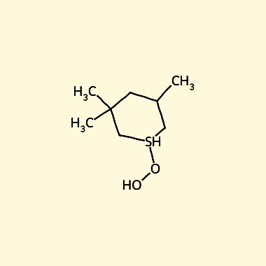 CC1C[SH](OO)CC(C)(C)C1